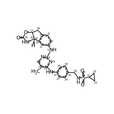 Cc1cnc(Nc2ccc3c(c2)[C@@H]2NC(=O)OC2C3)nc1Nc1ccc(CNS(=O)(=O)C2CC2)cc1